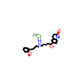 COc1ccccc1CCCNCCCCC(=O)c1ccc2c(c1)CCC(=O)N2C.Cl